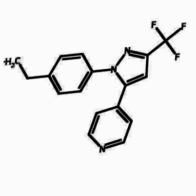 [CH2]Cc1ccc(-n2nc(C(F)(F)F)cc2-c2ccncc2)cc1